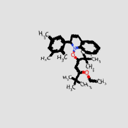 CCOC(CC(ON1c2ccccc2C=CC1c1cc(C)cc(C)c1C)C(C)(C)C)C(C)(C)C